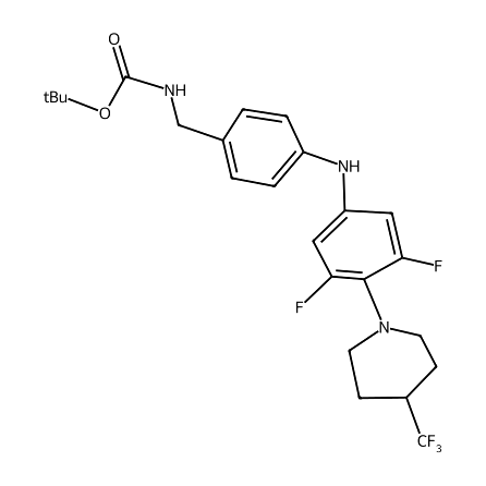 CC(C)(C)OC(=O)NCc1ccc(Nc2cc(F)c(N3CCC(C(F)(F)F)CC3)c(F)c2)cc1